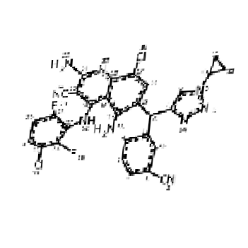 N#Cc1cccc([C@H](c2cn(C3CC3)nn2)c2cc(Cl)c3nc(N)c(C#N)c(Nc4c(F)ccc(Cl)c4F)c3c2N)c1